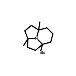 CCC(C)C12CCCC3(C)CCC(C)(CC1)N32